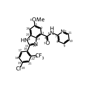 COc1cc(C(=O)Nc2ccccn2)c2nc(-c3ccc(Cl)cc3C(F)(F)F)[nH]c2c1